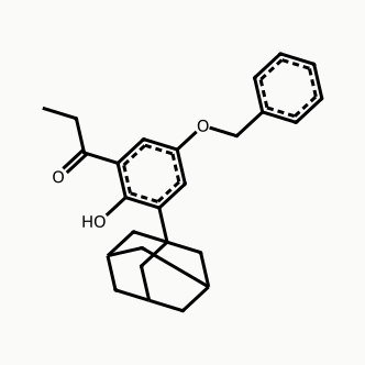 CCC(=O)c1cc(OCc2ccccc2)cc(C23CC4CC(CC(C4)C2)C3)c1O